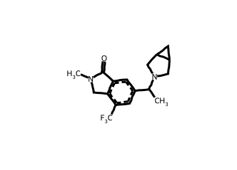 CC(c1cc2c(c(C(F)(F)F)c1)CN(C)C2=O)N1CC2CC2C1